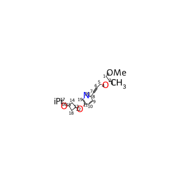 COCC(C)OCC#Cc1ccc(OC2CC(OC(C)C)C2)cn1